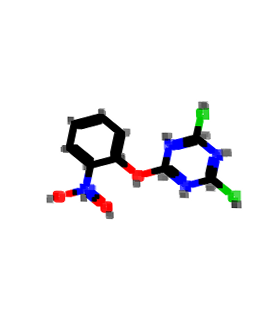 O=[N+]([O-])c1ccccc1Oc1nc(Cl)nc(Cl)n1